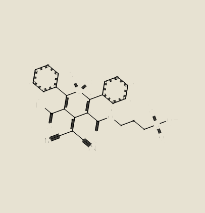 N#CC(C#N)=C1C(C(=O)O)=C(c2ccccc2)S(=O)(=O)C(c2ccccc2)=C1C(=O)OCCCS(=O)(=O)O